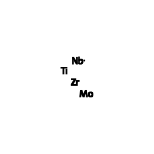 [Mo].[Nb].[Ti].[Zr]